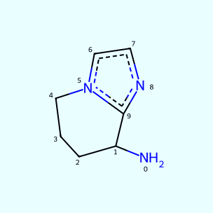 NC1CCCn2ccnc21